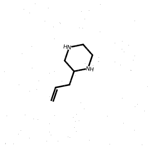 C=CCC1CNCCN1